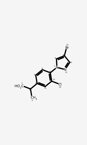 CC(C(=O)O)c1ccc(-n2cc(Br)cn2)c(Cl)c1